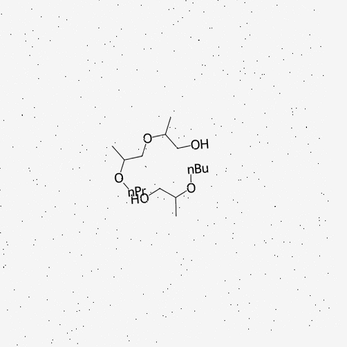 CCCCOC(C)CO.CCCOC(C)COC(C)CO